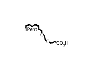 CCCCC/C=C\C/C=C\CCOCC=C=CCC(=O)O